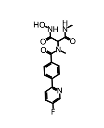 CNC(=O)C(C(=O)NO)N(C)C(=O)c1ccc(-c2ccc(F)cn2)cc1